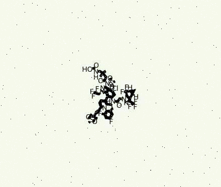 CC(C)(CNC(=O)O)CC(=O)N(c1nn(CC(F)(F)F)c2c(-c3ccc(C#CC(C)(C)S(C)(=O)=O)nc3[C@H](Cc3cc(F)cc(F)c3)NC(=O)Cn3nc(C(F)(F)F)c4c3C(F)(F)[C@@H]3C[C@H]43)ccc(Cl)c12)S(C)(=O)=O